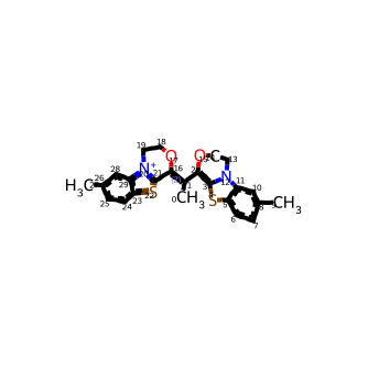 C/C(C1=C2Sc3ccc(C)cc3N2CCO1)=C1/OCC[n+]2c1sc1ccc(C)cc12